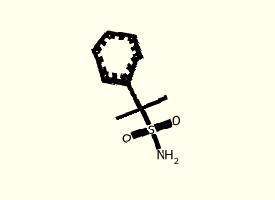 CC(C)(c1cc[c]cc1)S(N)(=O)=O